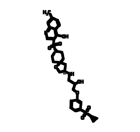 Cc1ccc2c(O)c(S(=O)(=O)N3CCC4(CC3)C[C@@H](NCC(O)COc3cccc(S(=O)(=O)C5CC5)c3)CO4)cnc2c1